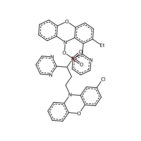 CCc1ccc2c(c1-c1ncccn1)N(OS(=O)(=O)C(CCN1c3ccccc3Oc3ccc(Cl)cc31)c1ncccn1)c1ccccc1O2